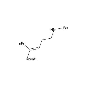 CCCCC/C(=C/CCNC(C)CC)CCC